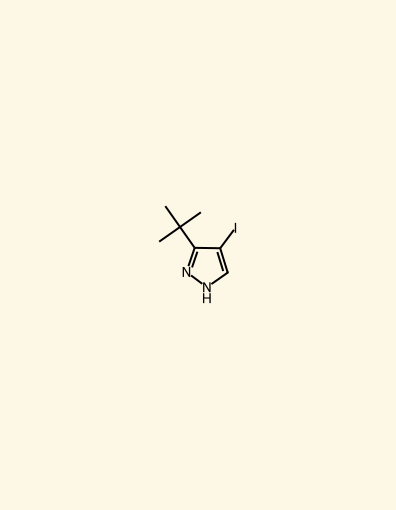 CC(C)(C)c1n[nH]cc1I